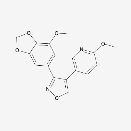 COc1ccc(-c2conc2-c2cc(OC)c3c(c2)OCO3)cn1